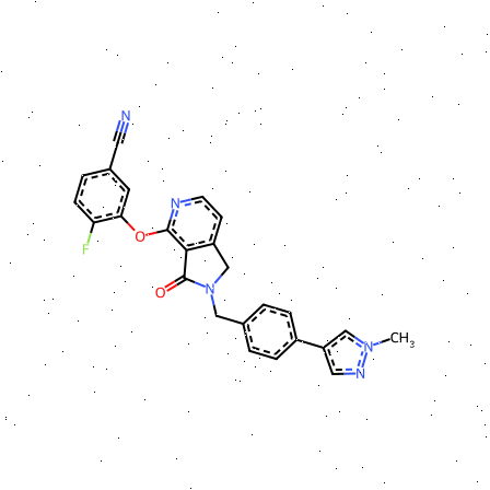 Cn1cc(-c2ccc(CN3Cc4ccnc(Oc5cc(C#N)ccc5F)c4C3=O)cc2)cn1